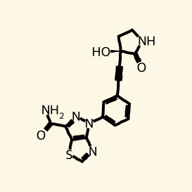 NC(=O)c1nn(-c2cccc(C#C[C@]3(O)CCNC3=O)c2)c2ncsc12